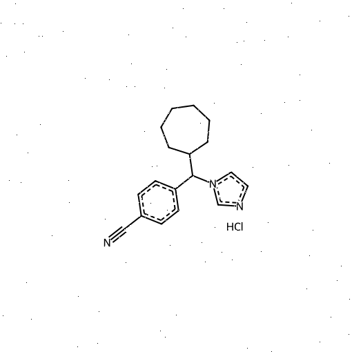 Cl.N#Cc1ccc(C(C2CCCCCC2)n2ccnc2)cc1